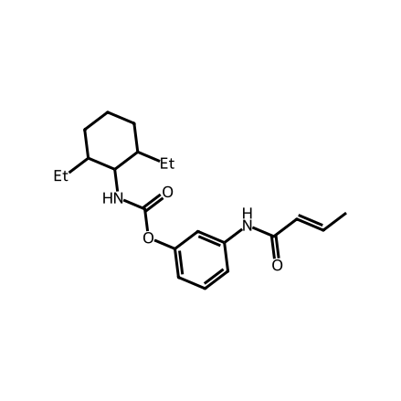 C/C=C/C(=O)Nc1cccc(OC(=O)NC2C(CC)CCCC2CC)c1